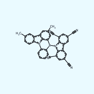 Cc1ccc2c(c1)c1cc(C)cc3c1n2-c1ccccc1B3n1c2c(C#N)cc(C#N)cc2c2cc(C#N)cc(C#N)c21